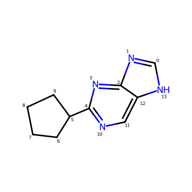 c1nc2nc(C3CCCC3)ncc2[nH]1